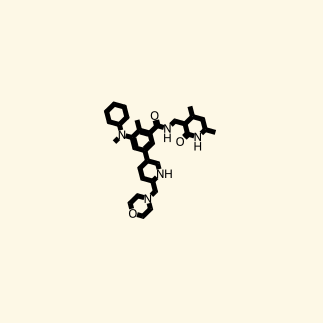 Cc1c(C(=O)NCC2C(=O)NC(C)CC2C)cc(C2CCC(CN3CCOCC3)NC2)cc1N(C)C1CCCCC1